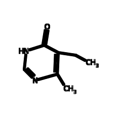 CCc1c(C)nc[nH]c1=O